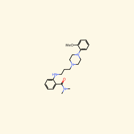 COc1ccccc1N1CCN(CCCNc2ccccc2C(=O)N(C)C)CC1